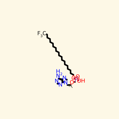 C[C@H](Cn1cnc2c(N)ncnc21)OCP(=O)(O)OCCCCCCCCCCCCCCCCCCCC(F)(F)F